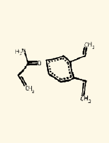 C=CC(N)=O.C=Cc1ccccc1C=C